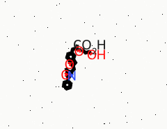 Cc1oc(-c2ccccc2)nc1Cc1cc2cc(CC(OCCCO)C(=O)O)ccc2o1